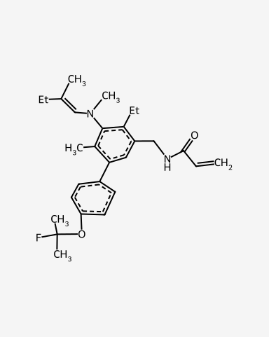 C=CC(=O)NCc1cc(-c2ccc(OC(C)(C)F)cc2)c(C)c(N(C)/C=C(\C)CC)c1CC